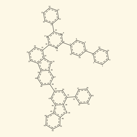 c1ccc(-c2ccc(-c3nc(-c4ccccc4)nc(-c4cccc5c4oc4cc(-c6cc(-c7ccccc7)c7sc8ccccc8c7c6)ccc45)n3)cc2)cc1